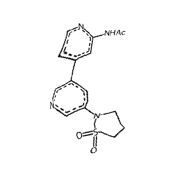 CC(=O)Nc1cc(-c2cncc(N3CCCS3(=O)=O)c2)ccn1